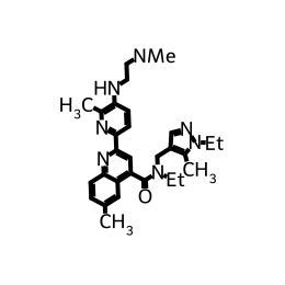 CCN(Cc1cnn(CC)c1C)C(=O)c1cc(-c2ccc(NCCNC)c(C)n2)nc2ccc(C)cc12